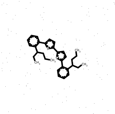 CCCC(CC)c1ccccc1-c1ccc(-c2ccc(-c3ccccc3C(CC)CCC)s2)s1